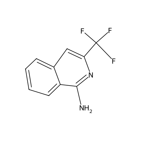 Nc1nc(C(F)(F)F)cc2ccccc12